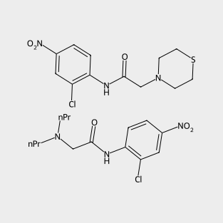 CCCN(CCC)CC(=O)Nc1ccc([N+](=O)[O-])cc1Cl.O=C(CN1CCSCC1)Nc1ccc([N+](=O)[O-])cc1Cl